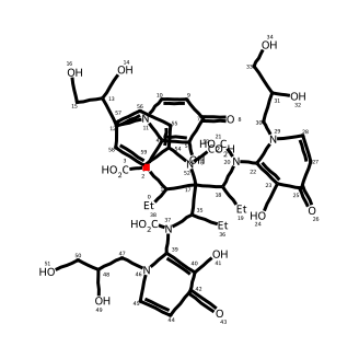 CCC(N(C(=O)O)c1c(O)c(=O)ccn1CC(O)CO)C(C(CC)N(C(=O)O)c1c(O)c(=O)ccn1CC(O)CO)(C(CC)N(C(=O)O)c1c(O)c(=O)ccn1CC(O)CO)N(C(=O)O)c1ccccc1